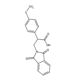 CSc1ccc(C(CN2C(=O)c3ccccc3C2=O)C(=O)O)cc1